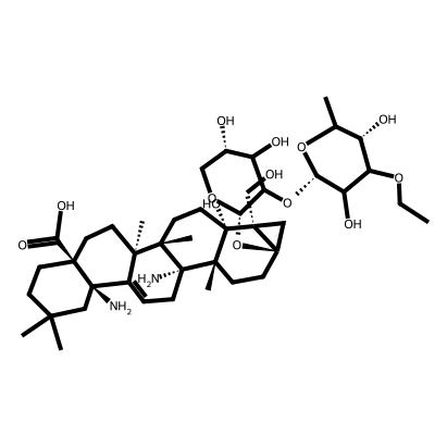 CCOC1C(O)[C@H](OC2C(O)[C@@H](O)CO[C@H]2O[C@@]23CC[C@]4(C)[C@@]5(N)CC=C6[C@]7(N)CC(C)(C)CC[C@]7(C(=O)O)CC[C@@]6(C)[C@]5(C)CC[C@@]4(O)[C@@]2(CO)C3)OC(C)[C@@H]1O